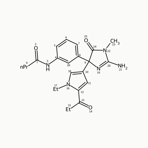 CCCC(=O)Nc1cccc(C2(c3cc(C(=O)CC)n(CC)c3)N=C(N)N(C)C2=O)c1